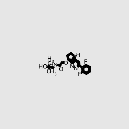 CC(C)(O)CNC(=O)CO[C@]12CC[C@H](C1)c1cc(-c3c(F)cccc3F)nnc12